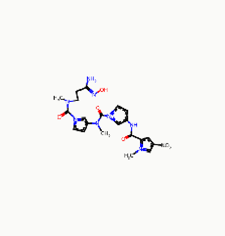 CN(CCC(N)=NO)C(=O)n1ccc(N(C)C(=O)n2ccc(NC(=O)c3cc([N+](=O)[O-])cn3C)c2)c1